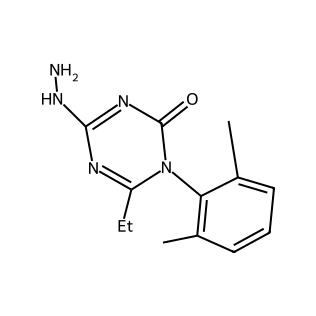 CCc1nc(NN)nc(=O)n1-c1c(C)cccc1C